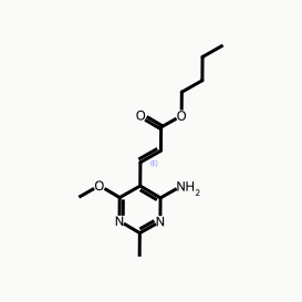 CCCCOC(=O)/C=C/c1c(N)nc(C)nc1OC